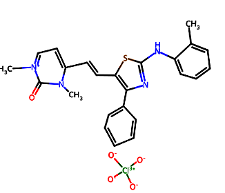 Cc1ccccc1Nc1nc(-c2ccccc2)c(C=Cc2cc[n+](C)c(=O)n2C)s1.[O-][Cl+3]([O-])([O-])[O-]